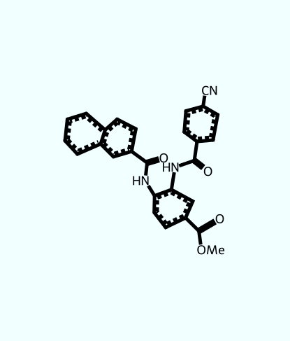 COC(=O)c1ccc(NC(=O)c2ccc3ccccc3c2)c(NC(=O)c2ccc(C#N)cc2)c1